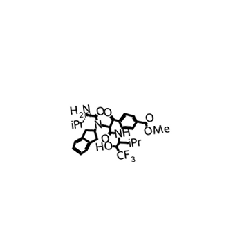 COC(=O)c1ccc(C(=O)C(C(=O)NC(C(C)C)C(O)C(F)(F)F)N(C(=O)[C@@H](N)C(C)C)C2Cc3ccccc3C2)cc1